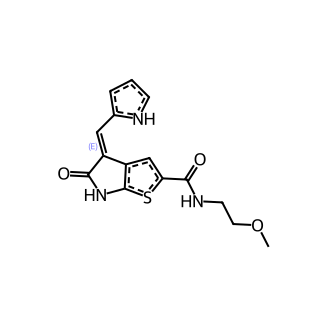 COCCNC(=O)c1cc2c(s1)NC(=O)/C2=C/c1ccc[nH]1